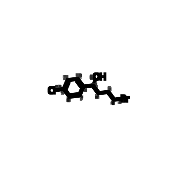 O[C@H](CCCBr)c1ccc(Cl)cc1